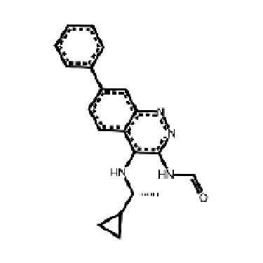 C[C@@H](Nc1c(NC=O)nnc2cc(-c3ccccc3)ccc12)C1CC1